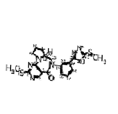 CSc1ncc2c(n1)N1CCC[C@H]1CN(c1cccc(-c3nnc(SC)o3)c1)C2=O